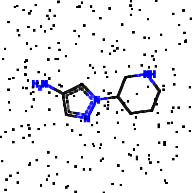 Nc1cnn(C2CCCNC2)c1